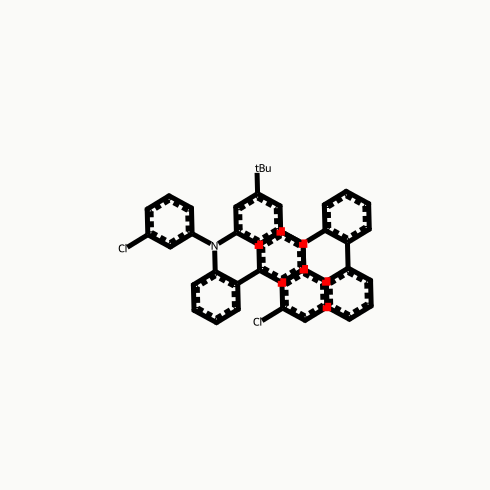 CC(C)(C)c1cc(N(c2cccc(Cl)c2)c2ccccc2-c2ccccc2)cc(N(c2cccc(Cl)c2)c2ccccc2-c2ccccc2)c1